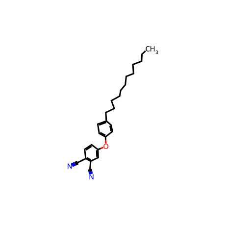 CCCCCCCCCCCCc1ccc(Oc2ccc(C#N)c(C#N)c2)cc1